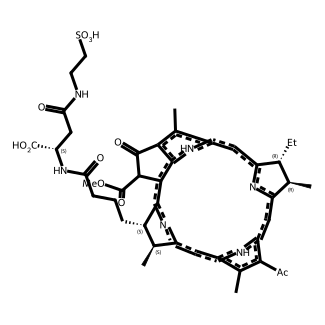 CC[C@H]1c2cc3[nH]c4c(c3C)C(=O)C(C(=O)OC)c4c3nc(cc4[nH]c(cc(n2)[C@@H]1C)c(C(C)=O)c4C)[C@@H](C)[C@@H]3CCCC(=O)N[C@@H](CC(=O)NCCS(=O)(=O)O)C(=O)O